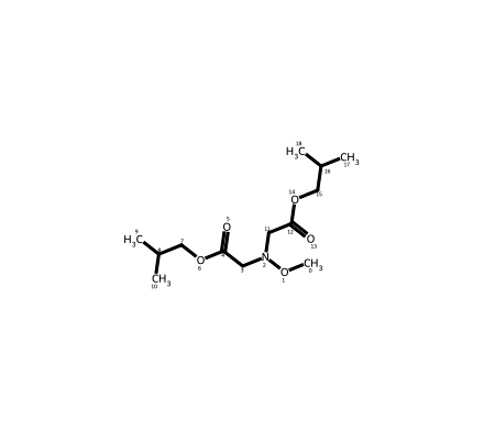 CON(CC(=O)OCC(C)C)CC(=O)OCC(C)C